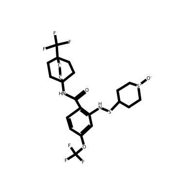 O=C(NC12CCC(C(F)(F)F)(CC1)CC2)c1ccc(OC(F)(F)F)cc1NSC1CC[S+]([O-])CC1